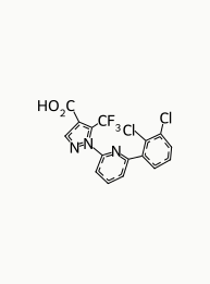 O=C(O)c1cnn(-c2cccc(-c3cccc(Cl)c3Cl)n2)c1C(F)(F)F